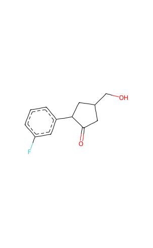 O=C1CC(CO)CC1c1cccc(F)c1